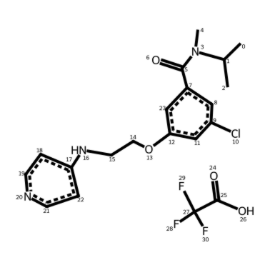 CC(C)N(C)C(=O)c1cc(Cl)cc(OCCNc2ccncc2)c1.O=C(O)C(F)(F)F